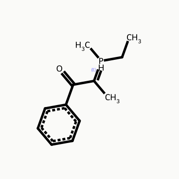 CC/[PH](C)=C(\C)C(=O)c1ccccc1